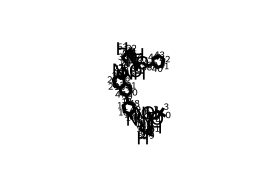 CC(C)(C)OC(=O)N1[C@@H]2C[C@@H]2C[C@H]1c1nc2ccc(-c3ccc4c(ccc5nc([C@@H]6C[C@H]7C[C@H]7N6C(=O)OCc6ccccc6)[nH]c54)c3)cc2[nH]1